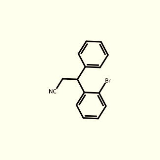 N#CCC(c1ccccc1)c1ccccc1Br